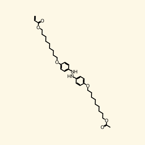 C=CC(=O)OCCCCCCCCCOc1ccc(NNc2ccc(OCCCCCCCCCOC(C)=O)cc2)cc1